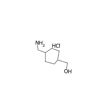 Cl.NCC1CCC(CO)CC1